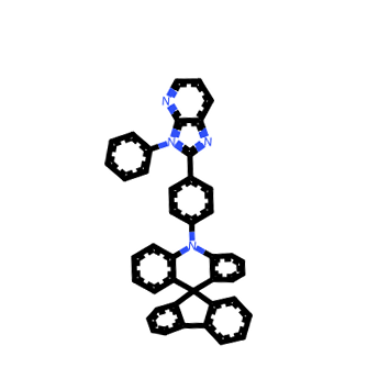 c1ccc(-n2c(-c3ccc(N4c5ccccc5C5(c6ccccc6-c6ccccc65)c5ccccc54)cc3)nc3cccnc32)cc1